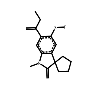 C=C(CC)c1cc2c(cc1SF)C1(CCCC1)C(=C)N2C